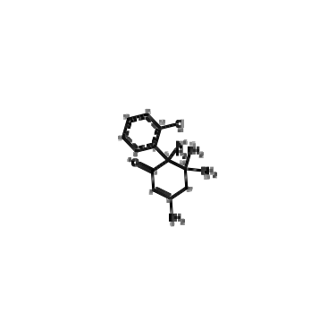 BC1=CC(=O)C(N)(c2ccccc2Cl)C(B)(B)C1